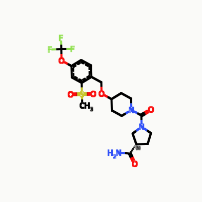 CS(=O)(=O)c1cc(OC(F)(F)F)ccc1COC1CCN(C(=O)N2CC[C@H](C(N)=O)C2)CC1